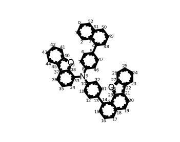 c1ccc2c(-c3ccc(N(c4ccc(-c5cccc6ccc7c8ccccc8oc7c56)cc4)c4cccc5c4oc4ccccc45)cc3)cccc2c1